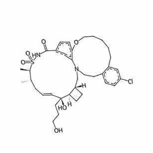 C[C@@H]1[C@@H](C)C/C=C/[C@@](O)(CCCO)[C@@H]2CC[C@H]2CN2CCc3ccc(Cl)cc3CCCCCOc3ccc(cc32)C(=O)NS1(=O)=O